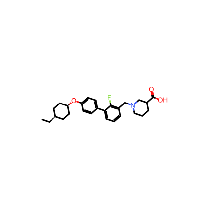 CC[C@H]1CC[C@@H](Oc2ccc(-c3cccc(CN4CCCC(C(=O)O)C4)c3F)cc2)CC1